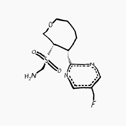 NS(=O)(=O)[C@@H]1COCC[C@@H]1c1ncc(F)cn1